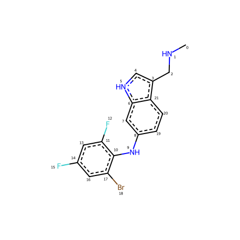 CNCc1c[nH]c2cc(Nc3c(F)cc(F)cc3Br)ccc12